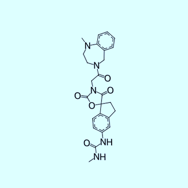 CNC(=O)Nc1ccc2c(c1)CCC21OC(=O)N(CC(=O)N2CCN(C)c3ccccc3C2)C1=O